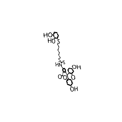 O=C1OC2(c3ccc(O)cc3Oc3cc(O)ccc32)c2ccc(NC(=S)SCCCCCCSc3cccc(O)c3O)cc21